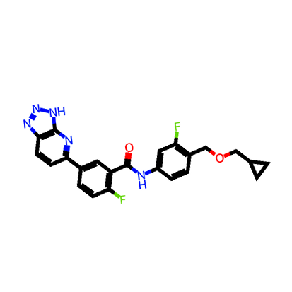 O=C(Nc1ccc(COCC2CC2)c(F)c1)c1cc(-c2ccc3nn[nH]c3n2)ccc1F